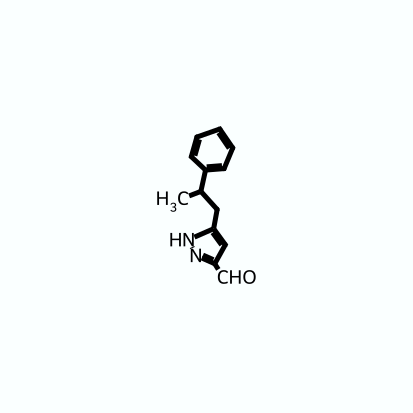 CC(Cc1cc(C=O)n[nH]1)c1ccccc1